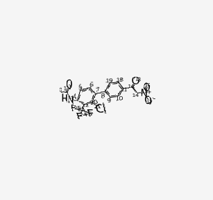 CC(=O)Nc1ccc(-c2ccc(C(=O)C[N+](=O)[O-])cc2)c(Cl)c1C(F)(F)F